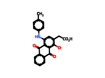 Cc1ccc(Nc2cc(CC(=O)O)c([O])c3c2C(=O)c2ccccc2C3=O)cc1